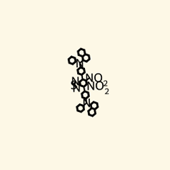 O=[N+]([O-])c1c([N+](=O)[O-])c(-c2ccc(N(c3ccccc3)c3cccc4ccccc34)cc2)c2nsnc2c1-c1ccc(N(c2ccccc2)c2cccc3ccccc23)cc1